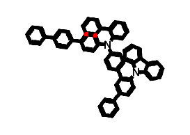 c1ccc(-c2ccc(-c3ccc(N(c4ccc(-c5cc(-c6ccccc6)ccc5-n5c6ccccc6c6ccccc65)cc4)c4ccccc4-c4ccccc4)cc3)cc2)cc1